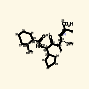 C/C(=C\[C@H](C(C)C)N(C)C(=O)[C@H](NC(=O)[C@H]1CCCCN1C(C)C)C1CCCC1)C(=O)O